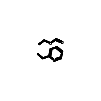 CCOC=O.CCc1ccccn1